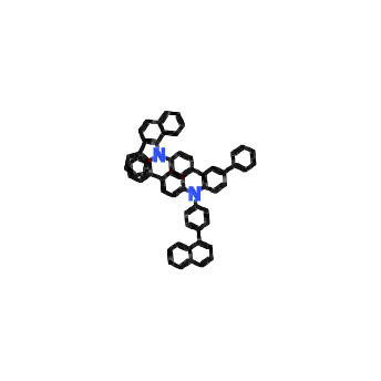 c1ccc(-c2ccc(N(c3ccc(-c4cccc5ccccc45)cc3)c3ccc(-c4ccccc4)cc3-c3ccc(-n4c5ccccc5c5ccc6ccccc6c54)cc3)cc2)cc1